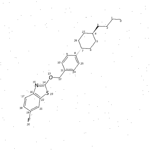 CCCC[C@H]1CC[C@H](c2ccc(COc3nc4ccc(F)cc4s3)cc2)CC1